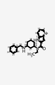 CCN(C(=O)c1cc2ncccc2[nH]1)C1CCCC(NCc2ccccc2)C1